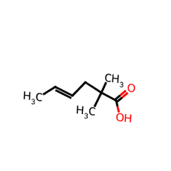 CC=CCC(C)(C)C(=O)O